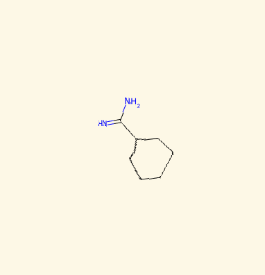 N=C(N)C1CCCCC1